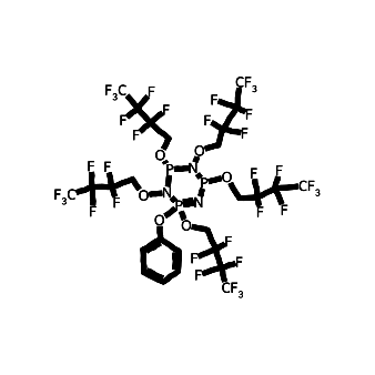 FC(F)(F)C(F)(F)C(F)(F)CON1P(OCC(F)(F)C(F)(F)C(F)(F)F)N=P(OCC(F)(F)C(F)(F)C(F)(F)F)(Oc2ccccc2)N(OCC(F)(F)C(F)(F)C(F)(F)F)P1OCC(F)(F)C(F)(F)C(F)(F)F